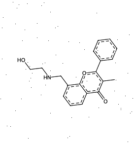 Cc1c(-c2ccccc2)oc2c(CNCCO)cccc2c1=O